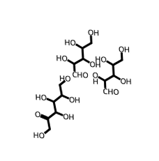 O=C(CO)C(O)C(O)C(O)CO.O=CC(O)C(O)C(O)CO.O=CC(O)C(O)C(O)CO